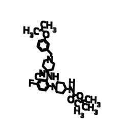 [C-]#[N+]C1(Nc2cc(F)ccc2N2CCC(NC(=O)OC(C)(C)C)CC2)CCN(Cc2cccc(OC(C)C)c2)CC1